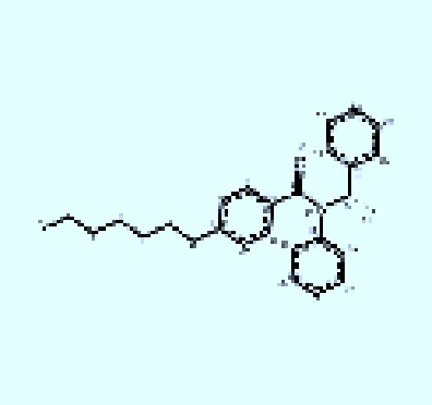 CCCCCCCc1ccc(C(=O)N(c2ccccc2)[C@@H](C)c2ccccc2)cc1